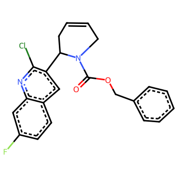 O=C(OCc1ccccc1)N1CC=CCC1c1cc2ccc(F)cc2nc1Cl